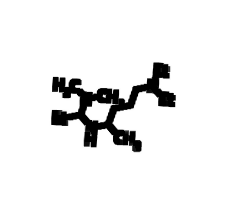 CCC(NC(C)CCCN(CC)CC)N(C)C